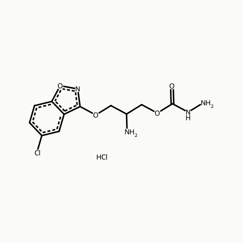 Cl.NNC(=O)OCC(N)COc1noc2ccc(Cl)cc12